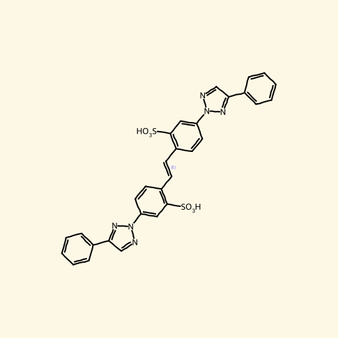 O=S(=O)(O)c1cc(-n2ncc(-c3ccccc3)n2)ccc1/C=C/c1ccc(-n2ncc(-c3ccccc3)n2)cc1S(=O)(=O)O